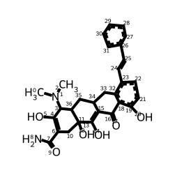 CN(C)C1C(O)=C(C(N)=O)CC2(O)C(O)=C3C(=O)c4c(O)ccc(/C=C/c5ccccc5)c4CC3CC12